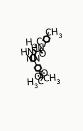 Cc1ccc(CNC(=O)c2c[nH]c3ncc(-c4ccc(S(=O)(=O)C(C)C)cc4)nc23)c(C)c1